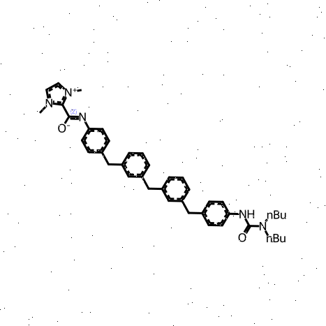 CCCCN(CCCC)C(=O)Nc1ccc(Cc2cccc(Cc3cccc(Cc4ccc(/N=C(\[O-])c5n(C)cc[n+]5C)cc4)c3)c2)cc1